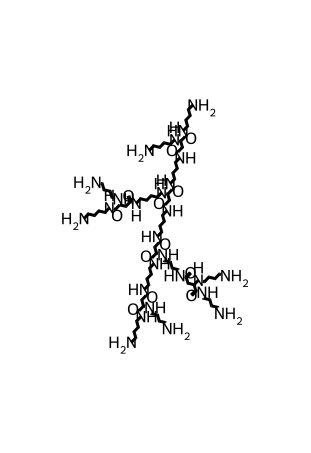 NCCCCNC(=O)C(CC(=O)NCCCCNC(=O)C(CC(=O)NCCCCNC(=O)CC(NCCCCNC(=O)CC(NCCCCN)C(=O)NCCCCN)C(=O)NCCCCNC(=O)CC(NCCCCN)C(=O)NCCCCN)NCCCCNC(=O)CC(NCCCCN)C(=O)NCCCCN)NCCCCN